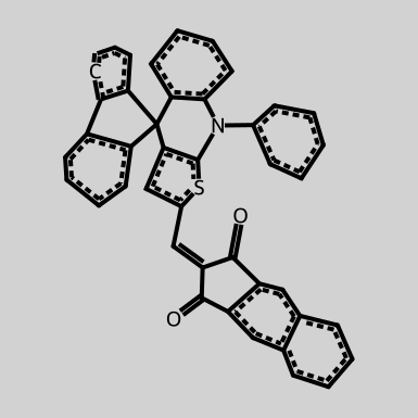 O=C1C(=Cc2cc3c(s2)N(c2ccccc2)c2ccccc2C32c3ccccc3-c3ccccc32)C(=O)c2cc3ccccc3cc21